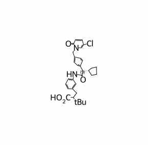 CC(C)(C)C(Cc1cccc(NC(=O)[C@H](c2ccc(Cn3cc(Cl)ccc3=O)cc2)C2CCCC2)c1)C(=O)O